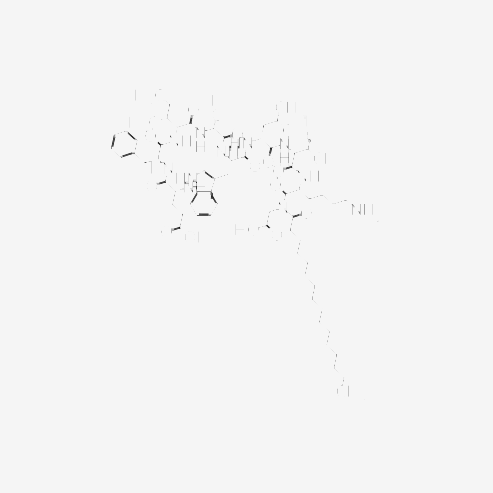 CCCCCCCCCCCCCCCC(=O)N(CC(=O)O)C(=O)[C@H](CCCCN)NC(=O)[C@@H](NC(=O)[C@H](CC(C)C)NC(=O)[C@H](Cc1c[nH]c2ccccc12)NC(=O)[C@H](C)NC(=O)[C@@H](NC(=O)[C@H](Cc1ccccc1)NC(=O)[C@@H](N)CCC(=O)O)[C@@H](C)CC)C(C)C